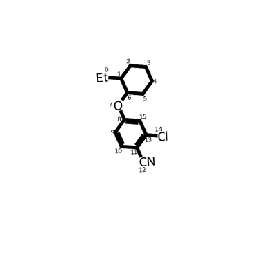 CCC1CCCCC1Oc1ccc(C#N)c(Cl)c1